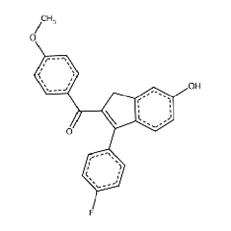 COc1ccc(C(=O)C2=C(c3ccc(F)cc3)c3ccc(O)cc3C2)cc1